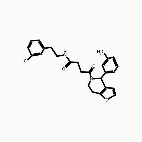 Cc1cccc(C2c3ccsc3CCN2C(=O)CCC(=O)NCCc2cccc(Cl)c2)c1